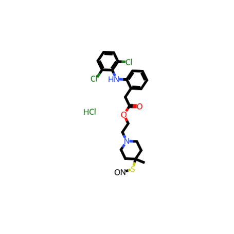 CC1(SN=O)CCN(CCOC(=O)Cc2ccccc2Nc2c(Cl)cccc2Cl)CC1.Cl